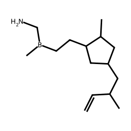 C=CC(C)CC1CC(C)C(CCB(C)CN)C1